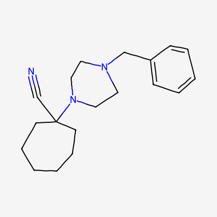 N#CC1(N2CCN(Cc3ccccc3)CC2)CCCCCC1